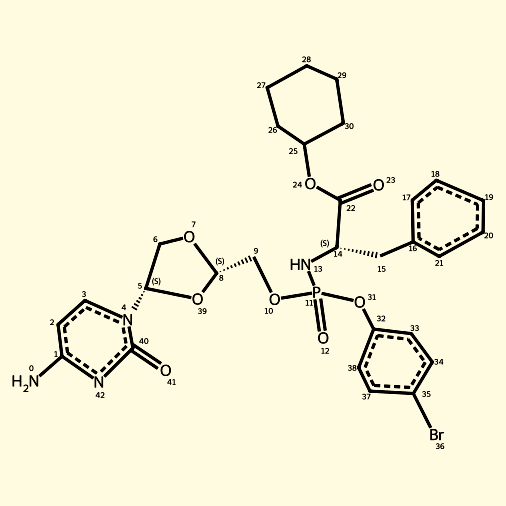 Nc1ccn([C@@H]2CO[C@H](COP(=O)(N[C@@H](Cc3ccccc3)C(=O)OC3CCCCC3)Oc3ccc(Br)cc3)O2)c(=O)n1